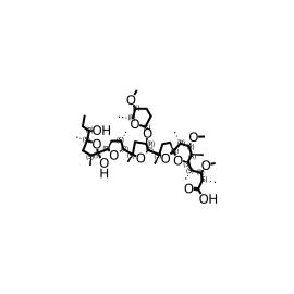 CC[C@@H](O)[C@]1(C)C[C@H](C)[C@@](O)([C@H]2C[C@H](C)[C@H]([C@]3(C)C[C@@H](O[C@H]4CC[C@H](OC)[C@@H](C)O4)[C@H]([C@]4(C)CC[C@@]5(O[C@H]([C@@H](C)[C@@H](OC)[C@H](C)C(=O)O)[C@H](C)[C@@H](OC)[C@H]5C)O4)O3)O2)O1